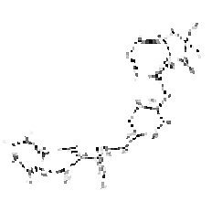 CC1(C)Cc2cccc(CN3CCC(CNC(=O)c4cc5nccnc5s4)CC3)c2O1